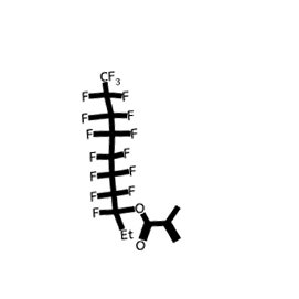 C=C(C)C(=O)OC(F)(CC)C(F)(F)C(F)(F)C(F)(F)C(F)(F)C(F)(F)C(F)(F)C(F)(F)F